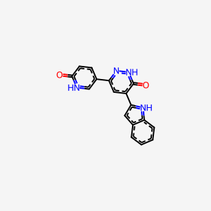 O=c1ccc(-c2cc(-c3cc4ccccc4[nH]3)c(=O)[nH]n2)c[nH]1